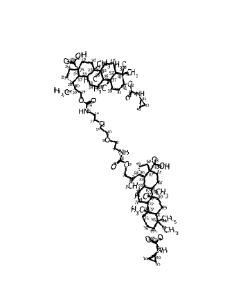 C[C@@H](COC(=O)NCCOCCOCCNC(=O)OC[C@H](C)[C@@H]1CC[C@]2(C(=O)O)CC[C@]3(C)C(CCC4[C@@]5(C)CC[C@@H](OC(=O)NC6CC6)C(C)(C)C5CC[C@]43C)C12)[C@@H]1CC[C@]2(C(=O)O)CC[C@]3(C)C(CCC4[C@@]5(C)CC[C@@H](OC(=O)NC6CC6)C(C)(C)C5CC[C@]43C)C12